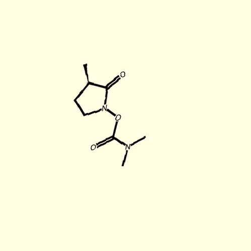 C[C@@H]1CCN(OC(=O)N(C)C)C1=O